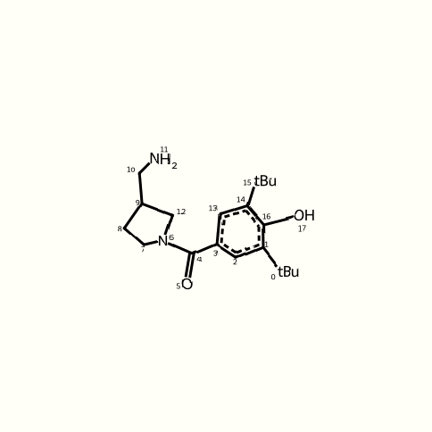 CC(C)(C)c1cc(C(=O)N2CCC(CN)C2)cc(C(C)(C)C)c1O